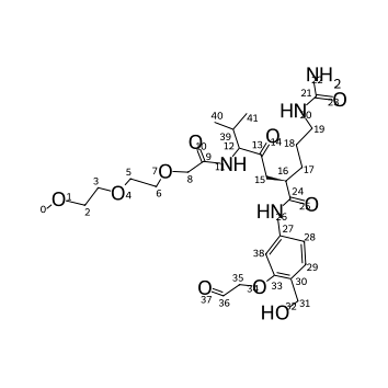 COCCOCCOCC(=O)NC(C(=O)C[C@@H](CCCNC(N)=O)C(=O)Nc1ccc(CO)c(OCC=O)c1)C(C)C